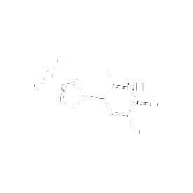 CCc1cc(-c2ccc(S(C)(=O)=O)s2)c(C)[nH]c1=O